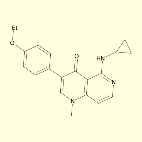 CCOc1ccc(-c2cn(C)c3ccnc(NC4CC4)c3c2=O)cc1